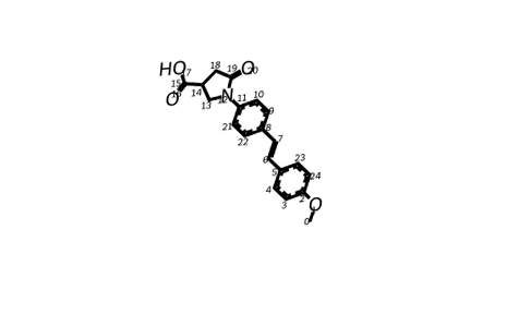 COc1ccc(C=Cc2ccc(N3CC(C(=O)O)CC3=O)cc2)cc1